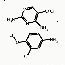 CCOc1ccc(N)cc1Cl.Nc1ncc(C(=O)O)c(N)n1